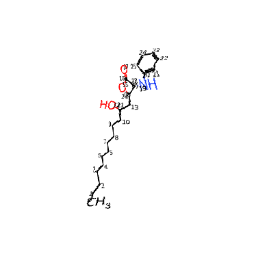 CCCCCCCCCCCC(O)C[C@H]1OC(=O)[C@@H]1Nc1ccccc1